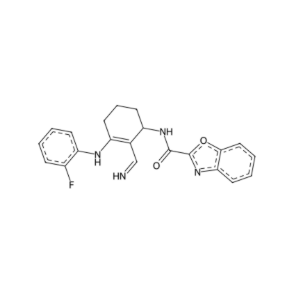 N=CC1=C(Nc2ccccc2F)CCCC1NC(=O)c1nc2ccccc2o1